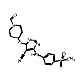 CS(=O)(=O)c1ccc(Nc2ncnc(OC3CCN(C=O)CC3)c2C#N)cc1